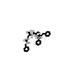 O=C(NCc1ccccc1)NCC(NC(=O)C1CSC(CCc2ccccc2)(S(=O)(=O)c2ccccc2)N1)C(=O)O